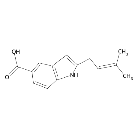 CC(C)=CCc1cc2cc(C(=O)O)ccc2[nH]1